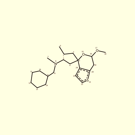 CCCC1(CCN(C)CC2CCCCC2)OC(OC)Cc2sccc21